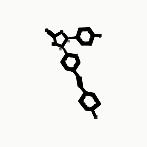 O=C1N[C@@H](c2ccc(C#Cc3ccc(Cl)cc3)cn2)[C@H](c2ccc(F)cc2)O1